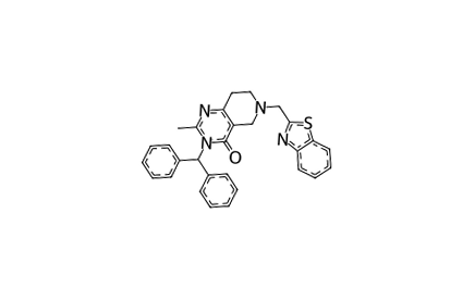 Cc1nc2c(c(=O)n1C(c1ccccc1)c1ccccc1)CN(Cc1nc3ccccc3s1)CC2